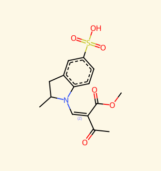 COC(=O)/C(=C\N1c2ccc(S(=O)(=O)O)cc2CC1C)C(C)=O